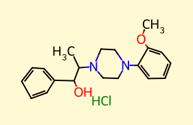 COc1ccccc1N1CCN(C(C)C(O)c2ccccc2)CC1.Cl